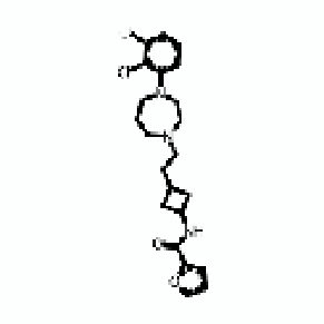 O=C(NC1CC(CCN2CCCN(c3cccc(Cl)c3Cl)CC2)C1)c1ccco1